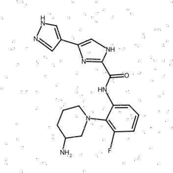 NC1CCCN(c2c(F)cccc2NC(=O)c2nc(-c3cn[nH]c3)c[nH]2)C1